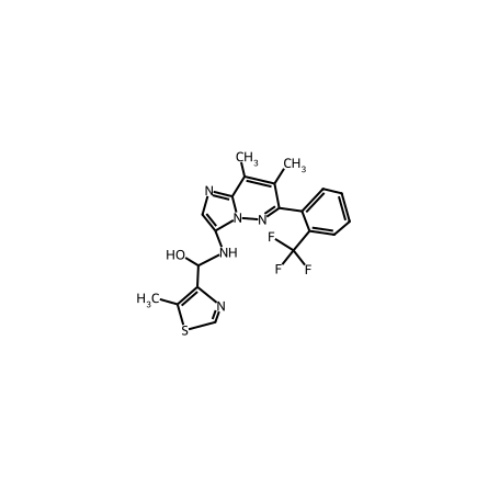 Cc1scnc1C(O)Nc1cnc2c(C)c(C)c(-c3ccccc3C(F)(F)F)nn12